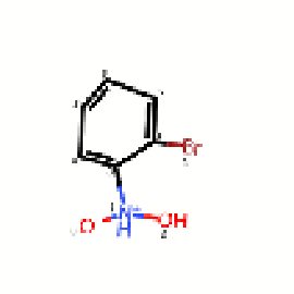 [O-][NH+](O)c1ccccc1Br